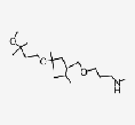 CNCCCOCC(CC(C)(C)OCCC(C)(C)OC)C(C)C